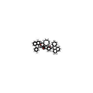 O=C1/C=C\C=C/Cc2ccccc2[C@@]12c1cc(N(c3ccccc3)c3cccc4ccccc34)ccc1-c1ccc(N(C3=CCC=CC=C3)C3C=CC=C4C=CC=CC43)cc12